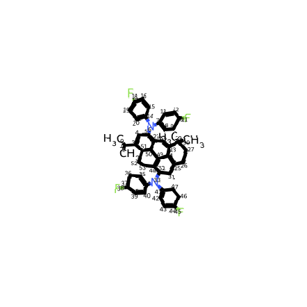 CC(C)C1=CC(N(C2=CCC(F)C=C2)c2ccc(F)cc2)=C2C=C3C4=C(CCC3(C)C)CC(N(C3=CCC(F)C=C3)C3=CC=C(F)CC3)C3=C4C2C1CC3